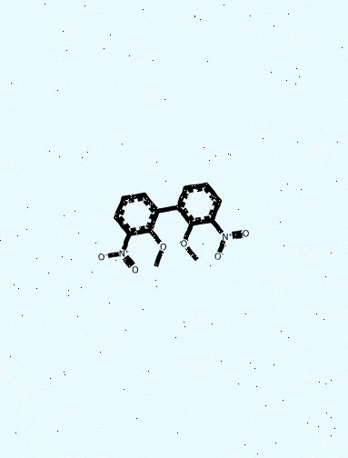 COc1c(-c2cccc([N+](=O)[O-])c2OC)cccc1[N+](=O)[O-]